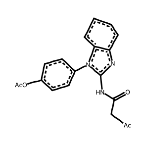 CC(=O)CC(=O)Nc1nc2ccccc2n1-c1ccc(OC(C)=O)cc1